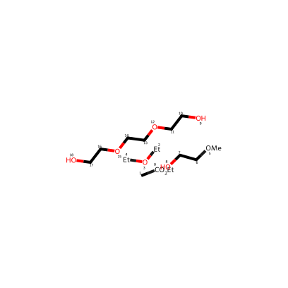 CCOC(C)=O.CCOCC.COCCO.OCCOCCOCCO